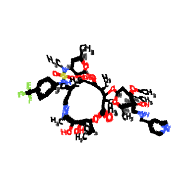 CCC1OC(=O)C(C)C(O[C@H]2C[C@@](C)(OC)[C@](O)(CNCc3ccncc3)[C@H](C)O2)C(C)C(O[C@@H]2O[C@H](C)C[C@H](N(C)S(=O)(=O)Nc3ccc(C(F)(F)F)cc3)[C@H]2O)C(C)(O)CC(C)CNC(C)C(O)C1(C)O